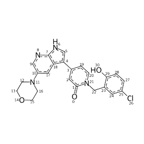 O=c1cc(-c2c[nH]c3ncc(N4CCOCC4)cc23)ccn1Cc1cc(Cl)ccc1O